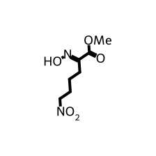 COC(=O)C(CCCC[N+](=O)[O-])=NO